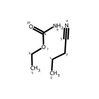 CCCC#N.CCOC(N)=O